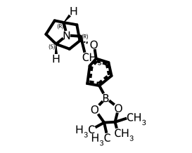 CCN1[C@@H]2CC[C@H]1C[C@@H](Oc1ccc(B3OC(C)(C)C(C)(C)O3)cc1)C2